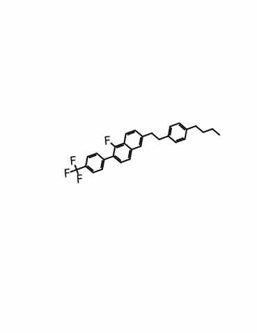 CCCCc1ccc(CCc2ccc3c(F)c(-c4ccc(C(F)(F)F)cc4)ccc3c2)cc1